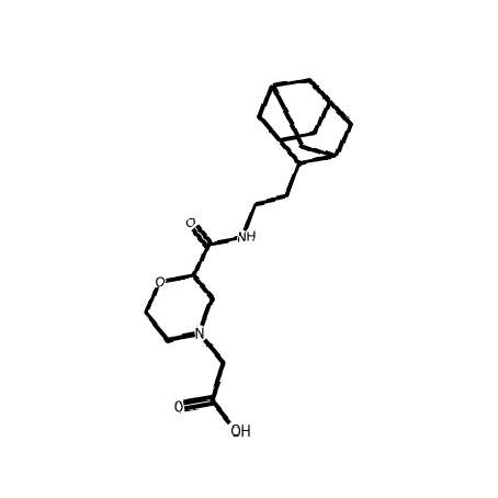 O=C(O)CN1CCOC(C(=O)NCCC2C3CC4CC(C3)CC2C4)C1